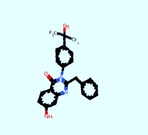 O=c1c2ccc(O)cc2nc(Cc2ccccc2)n1-c1ccc(C(O)(C(F)(F)F)C(F)(F)F)cc1